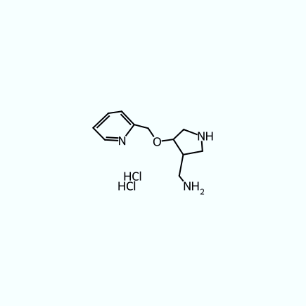 Cl.Cl.NCC1CNCC1OCc1ccccn1